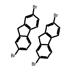 Brc1ccc2c(c1)Cc1cc(Br)ccc1-2.Brc1ccc2c(c1)Cc1cc(Br)ccc1-2